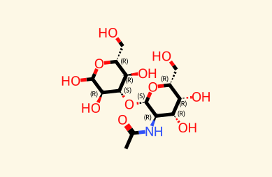 CC(=O)N[C@H]1[C@H](O[C@H]2[C@H](O)[C@@H](CO)OC(O)[C@@H]2O)O[C@H](CO)[C@H](O)[C@@H]1O